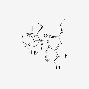 C=C[C@@H]1[C@@H]2CC[C@H](CN1c1nc(SCC)nc3c(F)c(Cl)nc(Br)c13)N2C(=O)OI